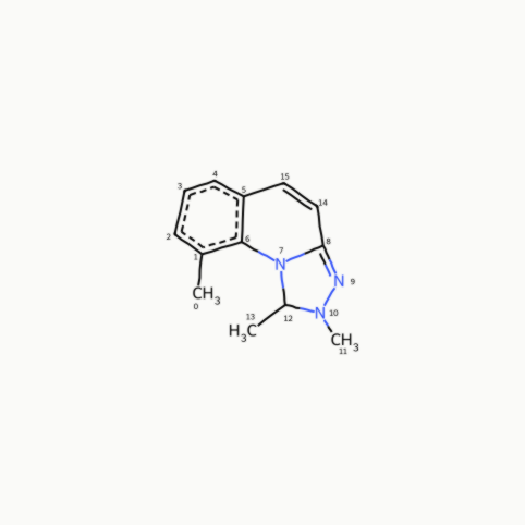 Cc1cccc2c1N1C(=NN(C)C1C)C=C2